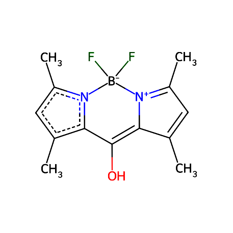 CC1=CC(C)=[N+]2C1=C(O)c1c(C)cc(C)n1[B-]2(F)F